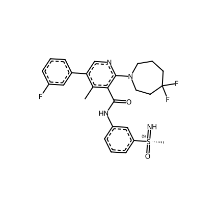 Cc1c(-c2cccc(F)c2)cnc(N2CCCC(F)(F)CC2)c1C(=O)Nc1cccc([S@@](C)(=N)=O)c1